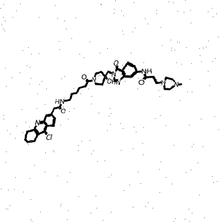 CN1CCN(CCC(=O)Nc2ccc3c(=O)n(CC4(O)CCN(C(=O)CCCCCNC(=O)Cc5ccc6c(Cl)c7c(nc6c5)CCCC7)CC4)cnc3c2)CC1